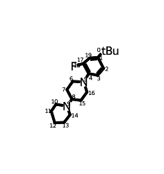 CC(C)(C)c1ccc(N2CCC(N3CCCCC3)CC2)c(F)c1